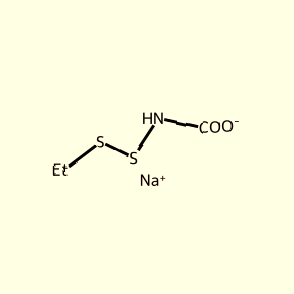 CCSSNC(=O)[O-].[Na+]